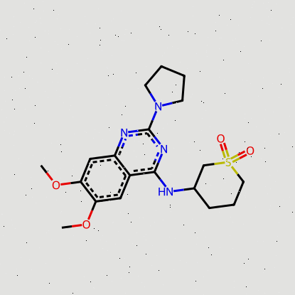 COc1cc2nc(N3CCCC3)nc(NC3CCCS(=O)(=O)C3)c2cc1OC